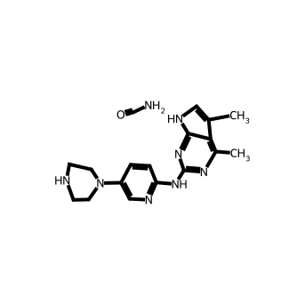 Cc1c[nH]c2nc(Nc3ccc(N4CCNCC4)cn3)nc(C)c12.NC=O